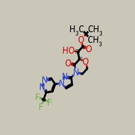 CC(C)(C)OC(=O)[C@H](O)[C@H]1OCCN(c2ccn(-c3cnnc(C(F)(F)F)c3)n2)C1=O